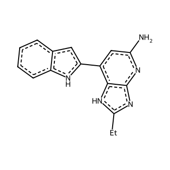 CCc1nc2nc(N)cc(-c3cc4ccccc4[nH]3)c2[nH]1